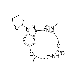 C[C@@H]1CCNC(=O)OCc2nc(cn2C)-c2nn(C3CCCCO3)c3ccc(cc23)O1